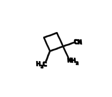 CC1CCC1(N)C#N